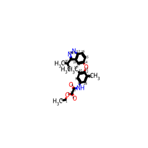 CCOC(=O)C(=O)Nc1cc(C)c(Oc2ccc3c(c2)C(C(C)C)=N[N]3)c(C)c1